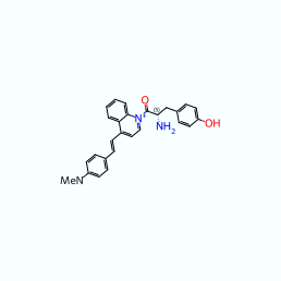 CNc1ccc(C=Cc2cc[n+](C(=O)[C@@H](N)Cc3ccc(O)cc3)c3ccccc23)cc1